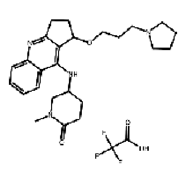 CN1CC(Nc2c3c(nc4ccccc24)CCC3OCCCN2CCCC2)CCC1=O.O=C(O)C(F)(F)F